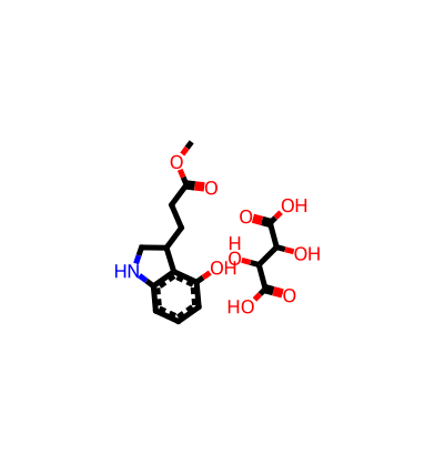 COC(=O)CCC1CNc2cccc(O)c21.O=C(O)C(O)C(O)C(=O)O